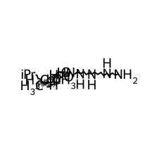 CC(C)CCC[C@@H](C)[C@H]1CC[C@H]2[C@@H]3CC=C4C[C@@H](OC(=O)NCCNCCCNCCCCNCCCN)CC[C@]4(C)[C@H]3CC[C@]12C